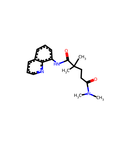 CN(C)C(=O)CCC(C)(C)C(=O)Nc1cccc2cccnc12